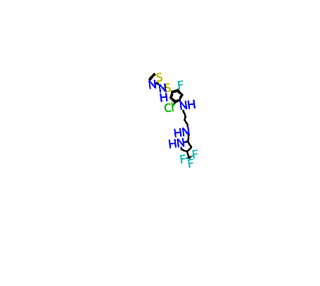 Fc1cc(NCCCCNCC2CC(C(F)(F)F)CN2)c(Cl)cc1SNc1nccs1